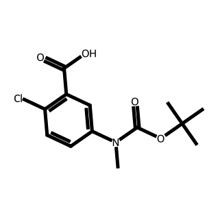 CN(C(=O)OC(C)(C)C)c1ccc(Cl)c(C(=O)O)c1